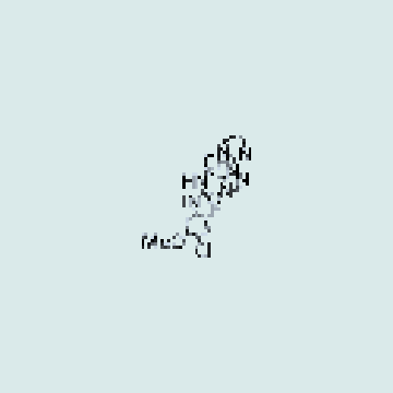 COc1cc(NC(=O)N[C@@H](C)c2ncnn2-c2ncccn2)c(F)cc1Cl